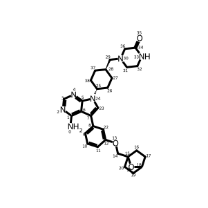 Nc1ncnc2c1c(-c1cccc(OCC34CCC(CC3)O4)c1)cn2[C@H]1CC[C@H](CN2CCNC(=O)C2)CC1